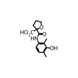 Cc1ccc(NC(=O)C2(C(=O)O)CCCO2)c(C)c1O